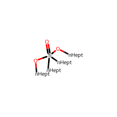 CCCCCCC[O][Ti](=[O])([CH2]CCCCCC)([CH2]CCCCCC)[O]CCCCCCC